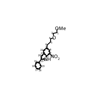 COCCOCCCc1cc([N+](=O)[O-])c2[nH]c(-c3ccccc3)cc2c1